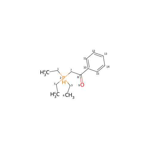 CC[PH](CC)(CC)CC(=O)c1ccccc1